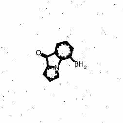 Bc1cccc2c1-n1cccc1C2=O